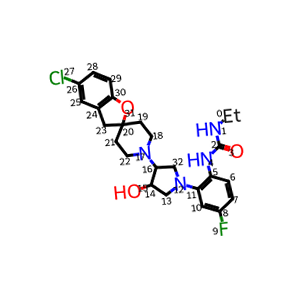 CCNC(=O)Nc1ccc(F)cc1N1CC(O)C(N2CCC3(CC2)Cc2cc(Cl)ccc2O3)C1